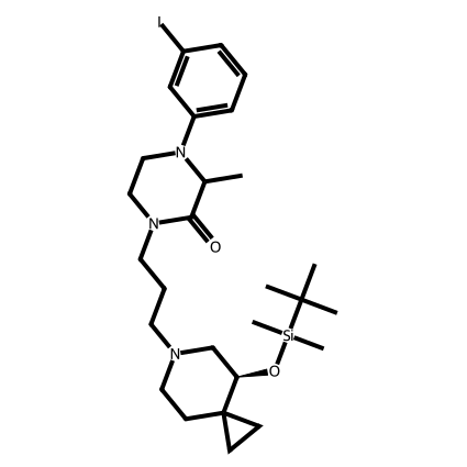 CC1C(=O)N(CCCN2CCC3(CC3)[C@H](O[Si](C)(C)C(C)(C)C)C2)CCN1c1cccc(I)c1